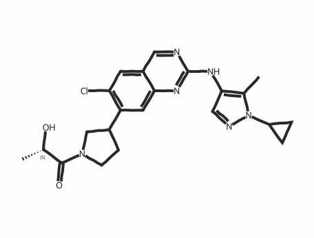 Cc1c(Nc2ncc3cc(Cl)c(C4CCN(C(=O)[C@H](C)O)C4)cc3n2)cnn1C1CC1